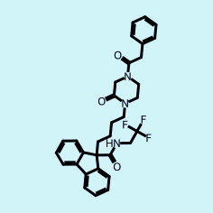 O=C1CN(C(=O)Cc2ccccc2)CCN1CCCCC1(C(=O)NCC(F)(F)F)c2ccccc2-c2ccccc21